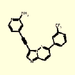 Nc1cc(C#Cc2cnc3ccc(-c4cc[c]c(C(F)(F)F)c4)nn23)ccn1